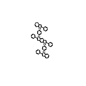 C1=Cc2c(cc(-c3ccccc3)n2-c2ccc(-n3c(-c4ccccc4)cc4cc5c(cc(-c6ccccc6)n5-c5ccc(-n6c(-c7ccccc7)cc7ccccc76)cc5)cc43)cc2)CC1